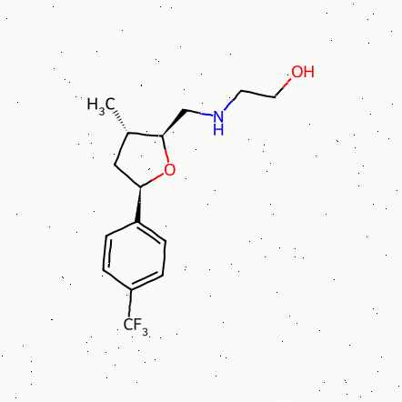 C[C@H]1C[C@H](c2ccc(C(F)(F)F)cc2)O[C@@H]1CNCCO